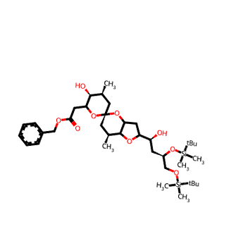 C[C@H]1C[C@@]2(C[C@H](C)[C@H](O)C(CC(=O)OCc3ccccc3)O2)OC2CC([C@@H](O)C[C@H](CO[Si](C)(C)C(C)(C)C)O[Si](C)(C)C(C)(C)C)OC21